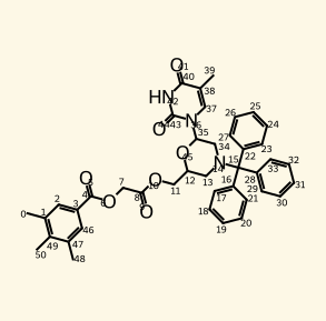 Cc1cc(C(=O)OCC(=O)OCC2CN(C(c3ccccc3)(c3ccccc3)c3ccccc3)CC(n3cc(C)c(=O)[nH]c3=O)O2)cc(C)c1C